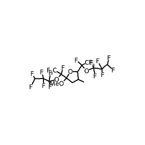 COC1(C(F)(OC(F)(F)C(F)(F)C(F)F)C(F)(F)F)CC(C)C(C(F)(OC(F)(F)C(F)(F)C(F)F)C(F)(F)F)O1